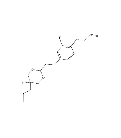 C=CCCc1ccc(CCC2OCC(F)(CCC)CO2)cc1F